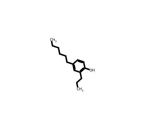 CCCCCCc1ccc(O)c(CCC)c1